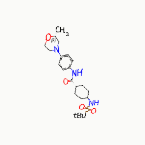 C[C@@H]1CN(c2ccc(NC(=O)[C@H]3CC[C@H](NS(=O)(=O)C(C)(C)C)CC3)cc2)CCO1